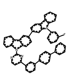 Fc1cccc(-n2c3ccccc3c3ccc(-c4ccc5c(c4)c4ccccc4n5-c4nccc(-c5cccc(-c6ccc(-c7ccccc7)cc6)c5)n4)cc32)c1